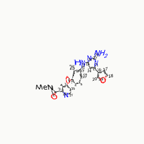 CNC(=O)c1cc(Oc2cccc(Nc3cc(-c4ccoc4)nc(N)n3)c2)ccn1